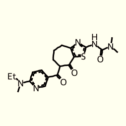 CCN(C)c1ccc(C(=O)C2CCCc3nc(NC(=O)N(C)C)sc3C2=O)cn1